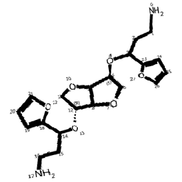 NCCC(O[C@H]1COC2C1OC[C@H]2OC(CCN)c1ccco1)c1ccco1